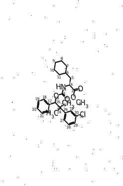 COC(=O)[C@H](CC1CCCCC1)NC(=O)OC(c1ccccc1)C(C)(C)c1cccc(Cl)c1